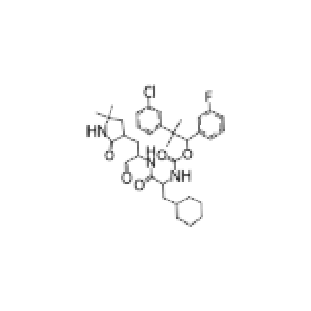 CC1(C)CC(CC(C=O)NC(=O)C(CC2CCCCC2)NC(=O)OC(c2cccc(F)c2)C(C)(C)c2cccc(Cl)c2)C(=O)N1